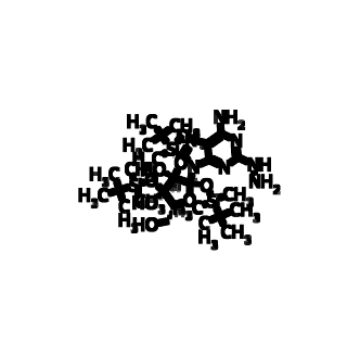 CC(C)(C)[Si](C)(C)O[C@@]1(n2cnc3c(N)nc(NN)nc32)O[C@H](CO)[C@](O)(O[Si](C)(C)C(C)(C)C)[C@]1(O)O[Si](C)(C)C(C)(C)C